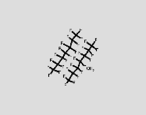 FC(F)(F)C(F)(F)C(F)(F)C(F)(F)C(F)(F)C(F)(F)C(F)(F)F.FC(F)(F)C(F)(F)C(F)(F)C(F)(F)C(F)(F)C(F)(F)C(F)(F)F.O